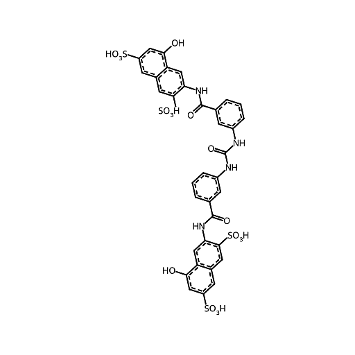 O=C(Nc1cccc(C(=O)Nc2cc3c(O)cc(S(=O)(=O)O)cc3cc2S(=O)(=O)O)c1)Nc1cccc(C(=O)Nc2cc3c(O)cc(S(=O)(=O)O)cc3cc2S(=O)(=O)O)c1